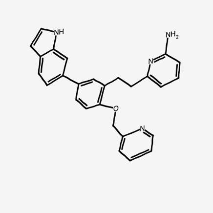 Nc1cccc(CCc2cc(-c3ccc4cc[nH]c4c3)ccc2OCc2ccccn2)n1